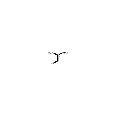 CC(=O)N[C@@H](CS)C(=O)O.[Au]